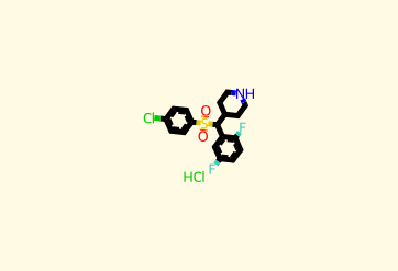 Cl.O=S(=O)(c1ccc(Cl)cc1)C(c1cc(F)ccc1F)C1CCNCC1